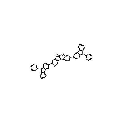 c1ccc(-n2c3ccccc3c3cc(-c4ccc5c(c4)oc4oc6cc(-c7ccc8c(c7)c7ccccc7n8-c7ccccc7)ccc6c45)ccc32)cc1